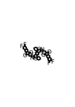 O=C1C(=Cc2nc3c(s2)-c2cc4c(cc2C2(CCCCC2)O3)-c2sc(C=C3C(=O)c5cc6cc(F)c(F)cc6cc5C3=O)nc2OC42CCCCC2)C(=O)c2cc3cc(F)c(F)cc3cc21